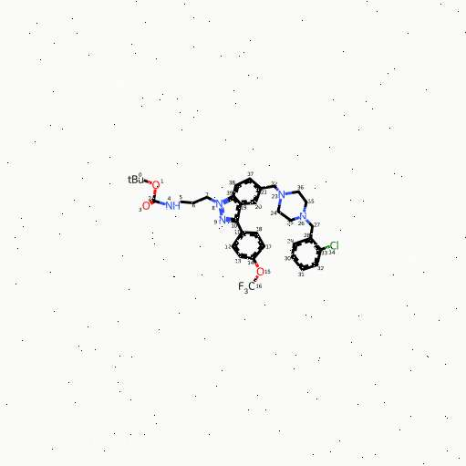 CC(C)(C)OC(=O)NCCCn1nc(-c2ccc(OC(F)(F)F)cc2)c2cc(CN3CCN(Cc4ccccc4Cl)CC3)ccc21